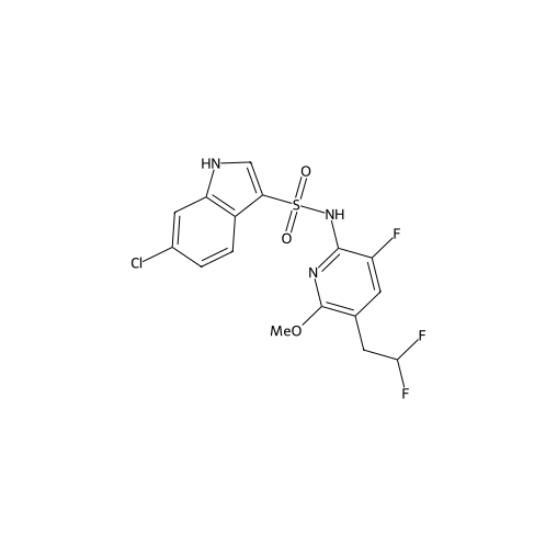 COc1nc(NS(=O)(=O)c2c[nH]c3cc(Cl)ccc23)c(F)cc1CC(F)F